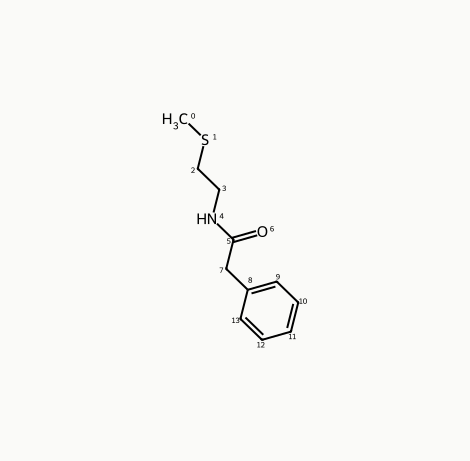 CSCCNC(=O)Cc1ccccc1